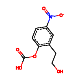 O=C(O)Oc1ccc([N+](=O)[O-])cc1CCO